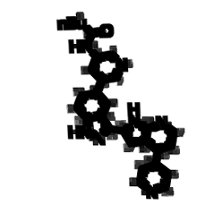 CCCCC(=O)Nc1cncc(-c2ccc3[nH]nc(-c4cc5c(-c6ccncc6)ccnc5[nH]4)c3c2)c1